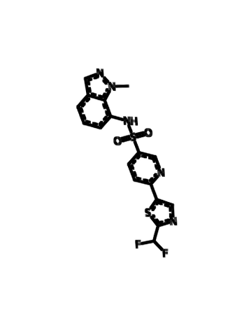 Cn1ncc2cccc(NS(=O)(=O)c3ccc(-c4cnc(C(F)F)s4)nc3)c21